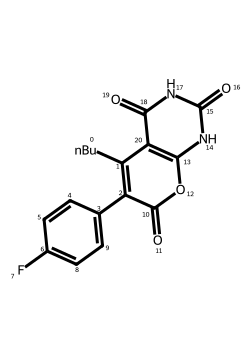 CCCCc1c(-c2ccc(F)cc2)c(=O)oc2[nH]c(=O)[nH]c(=O)c12